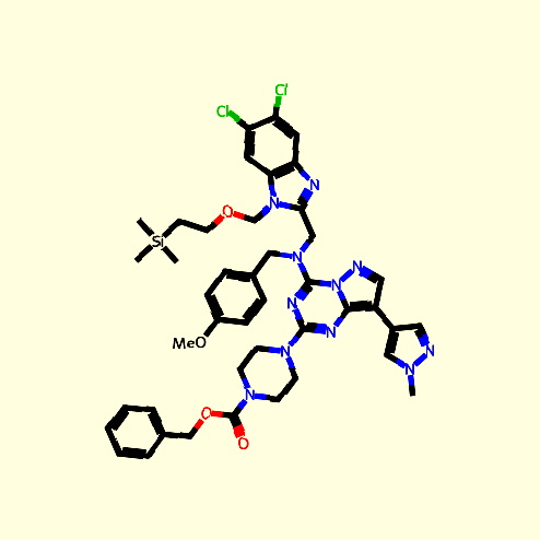 COc1ccc(CN(Cc2nc3cc(Cl)c(Cl)cc3n2COCC[Si](C)(C)C)c2nc(N3CCN(C(=O)OCc4ccccc4)CC3)nc3c(-c4cnn(C)c4)cnn23)cc1